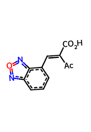 CC(=O)/C(=C\c1cccc2nonc12)C(=O)O